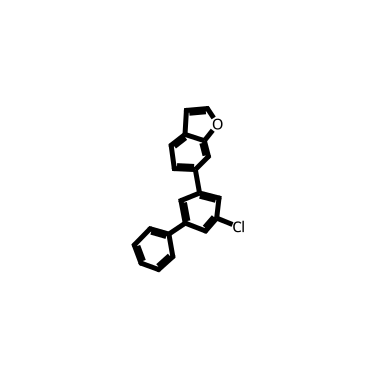 Clc1cc(-c2ccccc2)cc(-c2ccc3ccoc3c2)c1